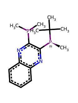 CP(C)c1nc2ccccc2nc1[P@](C)C(C)(C)C